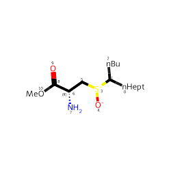 CCCCCCCC(CCCC)[S+]([O-])C[C@H](N)C(=O)OC